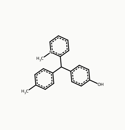 Cc1ccc(C(c2ccc(O)cc2)c2cccc[n+]2C)cc1